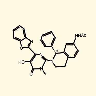 CC(=O)Nc1ccc2c(c1)[C@@H](c1ccccc1)N(c1nc(-c3nc4ccccc4o3)c(O)c(=O)n1C)CC2